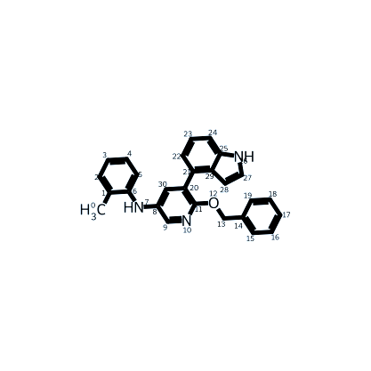 Cc1ccccc1Nc1cnc(OCc2ccccc2)c(-c2cccc3[nH]ccc23)c1